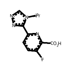 CC(C)n1cnnc1-c1ccc(F)c(C(=O)O)n1